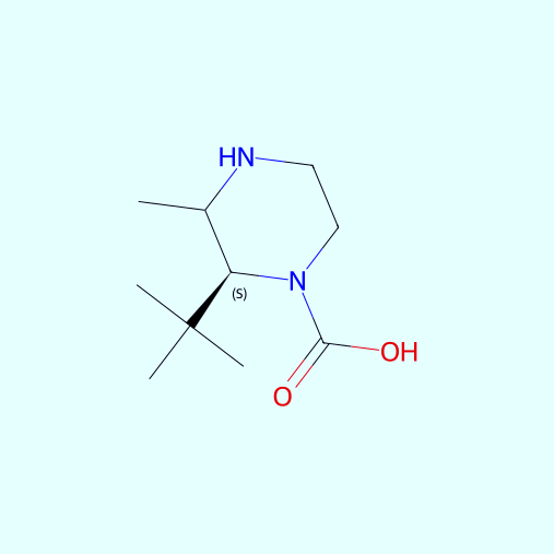 CC1NCCN(C(=O)O)[C@H]1C(C)(C)C